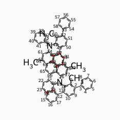 Cc1c(-c2ccccc2)ccc(-c2ccccc2)c1N(c1ccccc1)c1cc(C)c2ccc3c(N(c4ccccc4)c4c(-c5ccccc5)ccc(-c5ccccc5)c4C)cc(C)c4ccc1c2c43